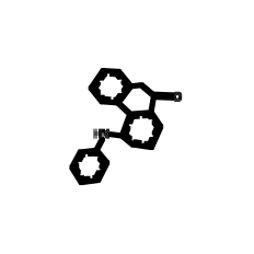 O=C1Cc2ccccc2-c2c(Nc3ccccc3)cccc21